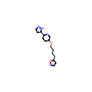 c1cc(-c2ccc(OCCCCc3ccno3)cn2)[nH]n1